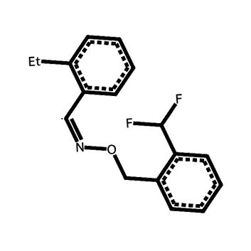 CCc1ccccc1/[C]=N\OCc1ccccc1C(F)F